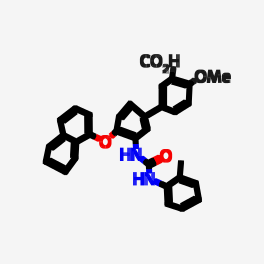 COc1ccc(-c2ccc(Oc3cccc4ccccc34)c(NC(=O)Nc3ccccc3C)c2)cc1C(=O)O